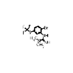 CN(C)C(=N)Nc1cc(SC(F)(F)F)ccc1Br